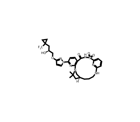 CC1(C)C[C@@H]2CCCNc3cccc(n3)S(=O)(=O)NC(=O)c3ccc(-n4ccc(OC[C@@H](O)CC5(C(F)(F)F)CC5)n4)nc3N1C2